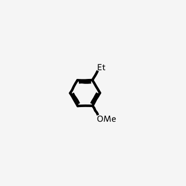 [CH2]Oc1cccc(CC)c1